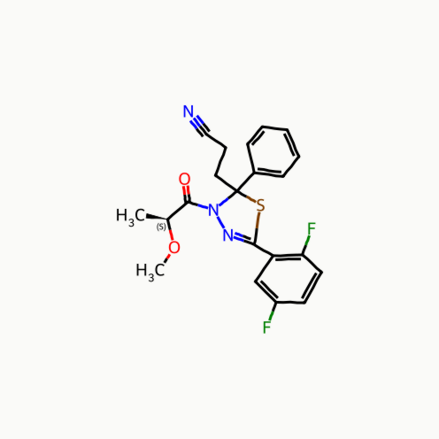 CO[C@@H](C)C(=O)N1N=C(c2cc(F)ccc2F)SC1(CCC#N)c1ccccc1